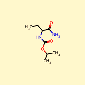 CCC(NC(=O)OC(C)C)C(N)=O